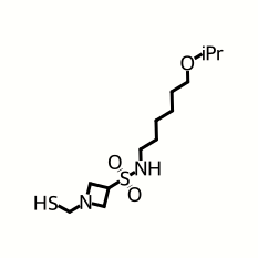 CC(C)OCCCCCCNS(=O)(=O)C1CN(CS)C1